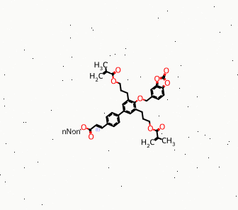 C=C(C)C(=O)OCCCc1cc(-c2ccc(/C=C/C(=O)OCCCCCCCCC)cc2)cc(CCCOC(=O)C(=C)C)c1OCc1ccc2oc(=O)oc2c1